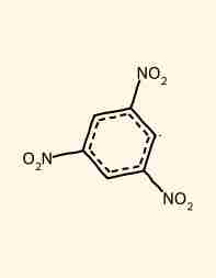 O=[N+]([O-])c1[c]c([N+](=O)[O-])cc([N+](=O)[O-])c1